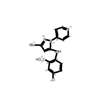 CC(C)(C)c1cc(Nc2ccc(Cl)cc2C(=O)O)n(-c2ccncc2)n1